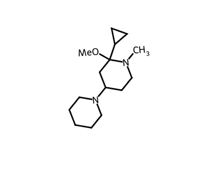 COC1(C2CC2)CC(N2CCCCC2)CCN1C